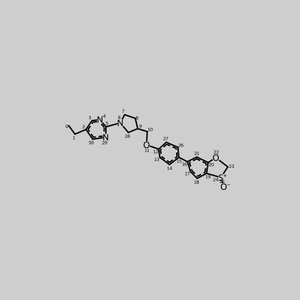 CCc1cnc(N2CCC(COc3ccc(-c4ccc5c(c4)OC[S+]5[O-])cc3)C2)nc1